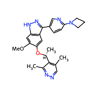 COc1cc2[nH]nc(-c3ccc(N4CCC4)nc3)c2cc1O[C@H](C)c1c(C)cnnc1C